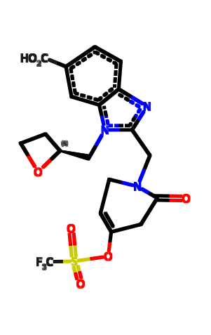 O=C(O)c1ccc2nc(CN3CC=C(OS(=O)(=O)C(F)(F)F)CC3=O)n(C[C@@H]3CCO3)c2c1